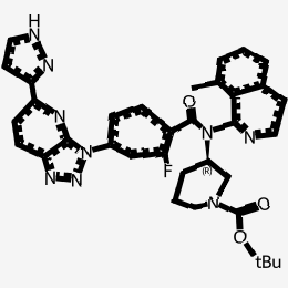 Cc1cccc2ccnc(N(C(=O)c3ccc(-n4nnc5ccc(-c6cc[nH]n6)nc54)cc3F)[C@@H]3CCCN(C(=O)OC(C)(C)C)C3)c12